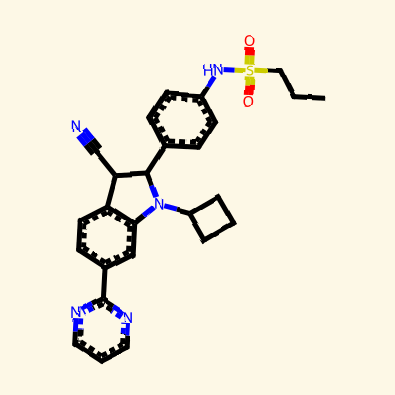 CCCS(=O)(=O)Nc1ccc(C2C(C#N)c3ccc(-c4ncccn4)cc3N2C2CCC2)cc1